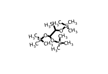 C[Si](C)(C)O[C]([SiH3])C(O[Si](C)(C)C)O[Si](C)(C)C